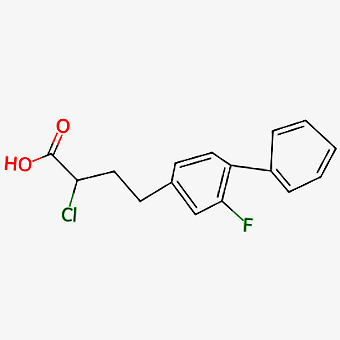 O=C(O)C(Cl)CCc1ccc(-c2ccccc2)c(F)c1